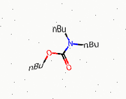 CCCCOC(=O)N(CCCC)CCCC